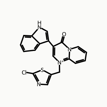 O=c1c(-c2c[nH]c3ccccc23)c[n+](Cc2cnc(Cl)s2)c2ccccn12